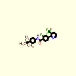 CC(C)(C)c1ccc(NC(=O)c2ccc(-c3ncccc3C(F)(F)F)cc2F)cc1